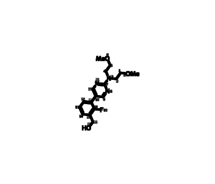 COCCN(CCOC)c1ncc(-c2cccc(CO)c2F)cn1